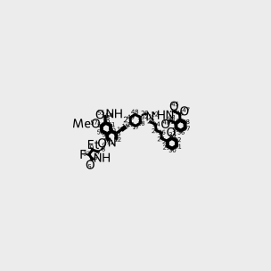 CC[C@@H]1[C@H](F)C(=O)N[C@@H]1COc1ncc(C#C[C@H]2CC[C@H](CN(C)CCCCCc3ccccc3Oc3cccc4c3C(=O)NC(=O)C4=O)CC2)c2cc(C(N)=O)c(OC)cc12